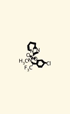 CN([C@H](c1ccc(Cl)cc1)C(F)(F)F)S(=O)(=O)c1cnc2ccccn12